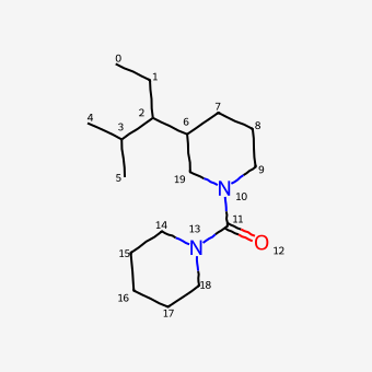 CCC(C(C)C)C1CCCN(C(=O)N2CCCCC2)C1